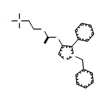 C[Si](C)(C)CCOC(=O)Nc1cnn(Cc2ccccc2)c1-c1ccccc1